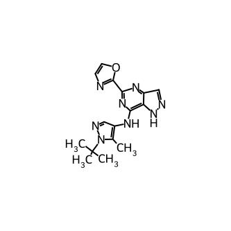 Cc1c(Nc2nc(-c3ncco3)nc3cn[nH]c23)cnn1C(C)(C)C